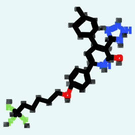 Cc1ccc(-c2cc(-c3ccc(OCCCCCC(F)(F)F)cc3)[nH]c(=O)c2-c2nn[nH]n2)cc1